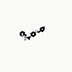 c1ccc(COc2ccc([C@@H]3C[C@H]3NCc3ccccn3)cc2)cc1